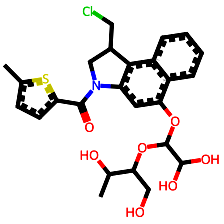 Cc1ccc(C(=O)N2CC(CCl)c3c2cc(OC(OC(CO)C(C)O)C(O)O)c2ccccc32)s1